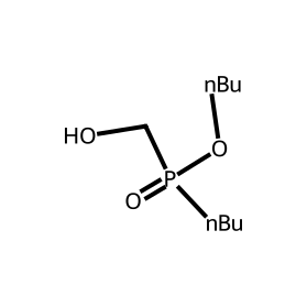 CCCCOP(=O)(CO)CCCC